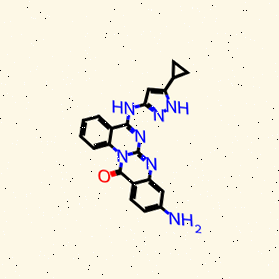 Nc1ccc2c(=O)n3c(nc(Nc4cc(C5CC5)[nH]n4)c4ccccc43)nc2c1